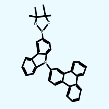 CC1(C)OB(c2ccc3c(c2)c2ccccc2n3-c2ccc3c4ccccc4c4ccccc4c3c2)OC1(C)C